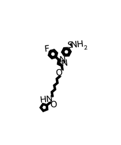 NSc1ccc(-n2nc(COCCCCCCCNC(=O)C3CCCC3)cc2-c2ccc(F)cc2)cc1